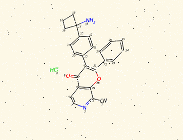 Cl.N#Cc1nccc2c(=O)c(-c3ccc(C4(N)CCC4)cc3)c(-c3ccccc3)oc12